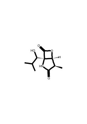 CC(C)C(O)[C@@]12NC(=O)[C@H](C)[C@@H]1OC2=O